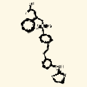 O=C(O)CC(CS(=O)(=O)c1ccc(CCc2cccc(NC3N=CCS3)c2)cc1)c1ccccc1